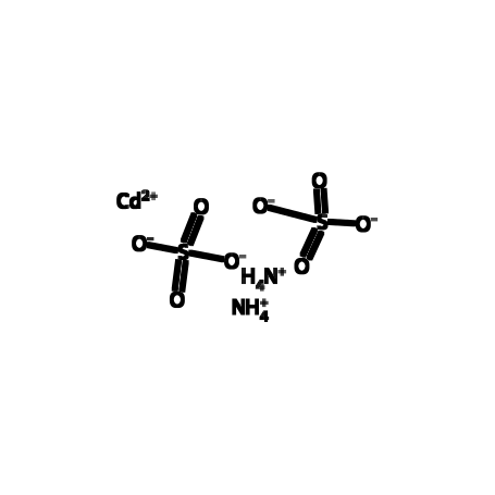 O=S(=O)([O-])[O-].O=S(=O)([O-])[O-].[Cd+2].[NH4+].[NH4+]